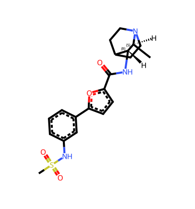 C[C@H]1[C@H](NC(=O)c2ccc(-c3cccc(NS(C)(=O)=O)c3)o2)C2CCN1CC2